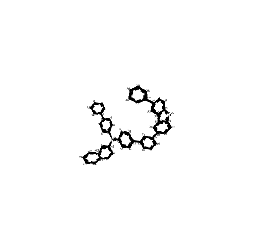 c1ccc(-c2ccc(N(c3ccc(-c4cccc(-c5ccc6sc7ccc(-c8ccccc8)cc7c6c5)c4)cc3)c3ccc4ccccc4c3)cc2)cc1